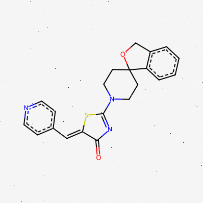 O=C1N=C(N2CCC3(CC2)OCc2ccccc23)SC1=Cc1ccncc1